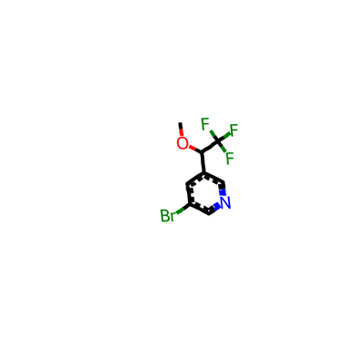 COC(c1cncc(Br)c1)C(F)(F)F